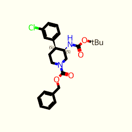 CC(C)(C)OC(=O)N[C@@H]1CN(C(=O)OCc2ccccc2)CC[C@H]1c1cccc(Cl)c1